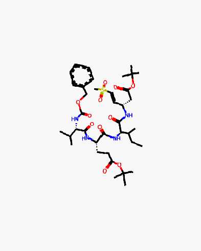 CCC(C)[C@@H](NC(=O)[C@H](CCC(=O)OC(C)(C)C)NC(=O)[C@@H](NC(=O)OCc1ccccc1)C(C)C)C(=O)N[C@H](/C=C/S(C)(=O)=O)CC(=O)OC(C)(C)C